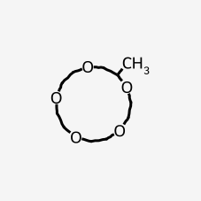 CC1COCCOCCOCCOCCO1